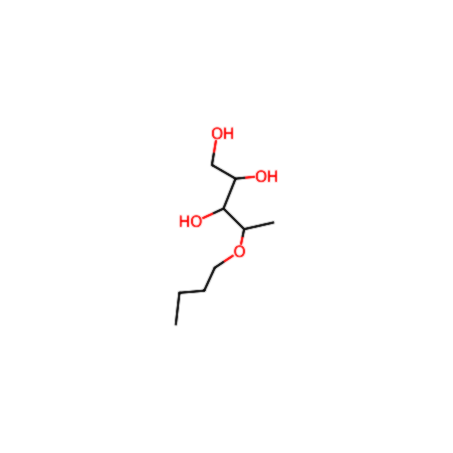 CCCCOC(C)C(O)C(O)CO